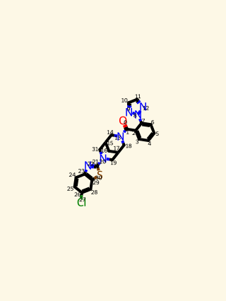 O=C(c1ccccc1-n1nccn1)N1CC2CC(C1)CN(c1nc3ccc(Cl)cc3s1)C2